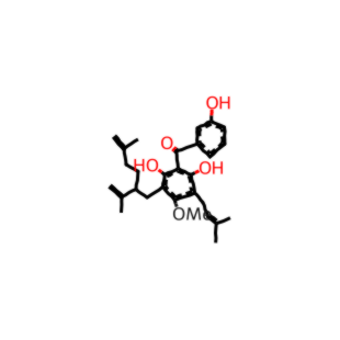 C=C(C)CCC(Cc1c(O)c(C(=O)c2cccc(O)c2)c(O)c(CC=C(C)C)c1OC)C(=C)C